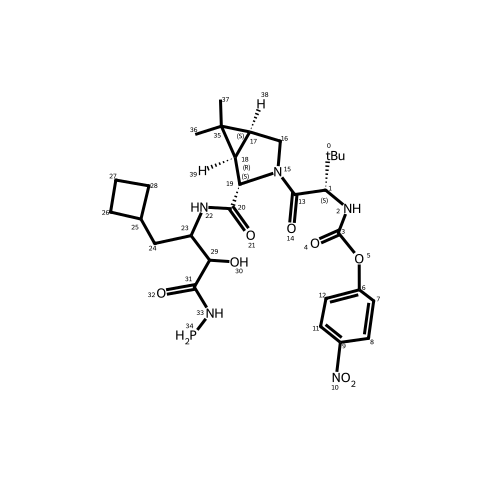 CC(C)(C)[C@H](NC(=O)Oc1ccc([N+](=O)[O-])cc1)C(=O)N1C[C@H]2[C@@H]([C@H]1C(=O)NC(CC1CCC1)C(O)C(=O)NP)C2(C)C